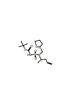 C=CC[C@@H](C)N(C[C@@H]1CCCO1)S(=O)(=O)NC(=O)OC(C)(C)C